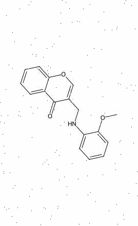 COc1ccccc1NCc1coc2ccccc2c1=O